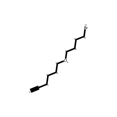 C#CCCCCOCCCCBr